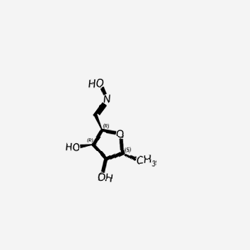 C[C@@H]1O[C@H](C=NO)[C@H](O)C1O